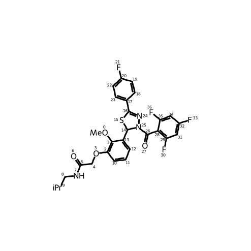 COc1c(OCC(=O)NCC(C)C)cccc1C1SC(c2ccc(F)cc2)=NN1C(=O)c1c(F)cc(F)cc1F